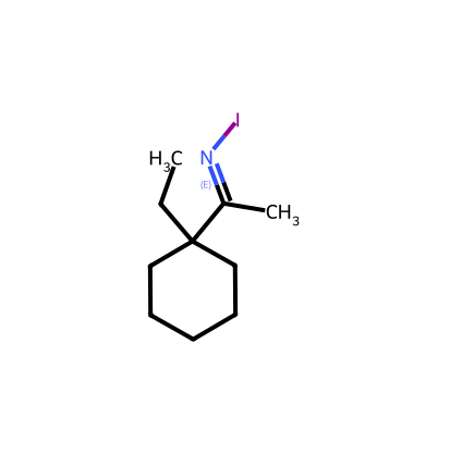 CCC1(/C(C)=N/I)CCCCC1